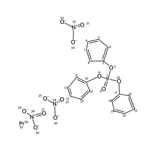 O=P(Oc1ccccc1)(Oc1ccccc1)Oc1ccccc1.O=[N+]([O-])[O-].O=[N+]([O-])[O-].O=[N+]([O-])[O-].[Pr+3]